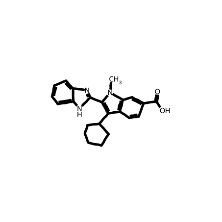 Cn1c(-c2nc3ccccc3[nH]2)c(C2CCCCC2)c2ccc(C(=O)O)cc21